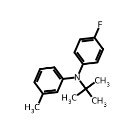 Cc1cccc(N(c2ccc(F)cc2)C(C)(C)C)c1